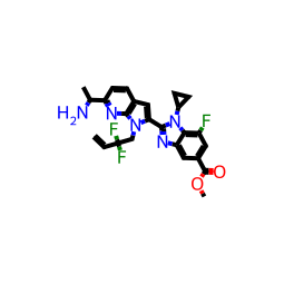 C=CC(F)(F)Cn1c(-c2nc3cc(C(=O)OC)cc(F)c3n2C2CC2)cc2ccc(C(C)N)nc21